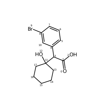 O=C(O)C(c1cccc(Br)c1)C1(O)CCCCC1